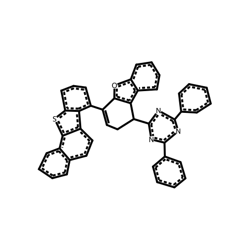 C1=C(c2cccc3sc4c5ccccc5ccc4c23)c2oc3ccccc3c2C(c2nc(-c3ccccc3)nc(-c3ccccc3)n2)C1